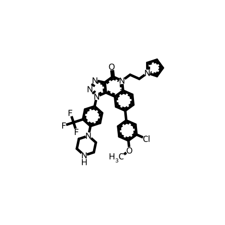 COc1ccc(-c2ccc3c(c2)c2c(nnn2-c2ccc(N4CCNCC4)c(C(F)(F)F)c2)c(=O)n3CCn2cccc2)cc1Cl